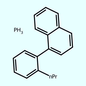 CCCc1ccccc1-c1cccc2ccccc12.P